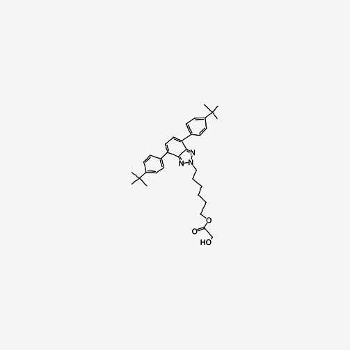 CC(C)(C)c1ccc(-c2ccc(-c3ccc(C(C)(C)C)cc3)c3nn(CCCCCCOC(=O)CO)nc23)cc1